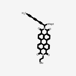 CC#CC#CC#CC(CCCCCCC)N1C(=O)c2ccc3c4ccc5c6c(ccc(c7ccc(c2c37)C1=O)c64)C(=O)N(CCC(C)(C)C)C5=O